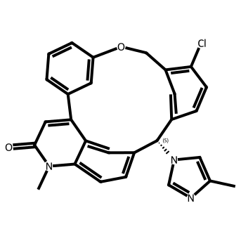 Cc1cn([C@H]2c3ccc(Cl)c(c3)COc3cccc(c3)-c3cc(=O)n(C)c4ccc2cc34)cn1